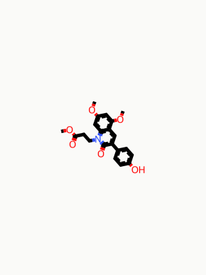 COC(=O)CCn1c(=O)c(-c2ccc(O)cc2)cc2c(OC)cc(OC)cc21